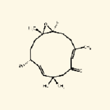 C/C1=C\C(=O)C[C@](C)(O)/C=C/[C@H](C(C)C)CC[C@]2(C)O[C@H]2CC1